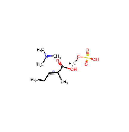 CC/C=C(\C)C(=O)O.CN(C)C.COS(=O)(=O)O